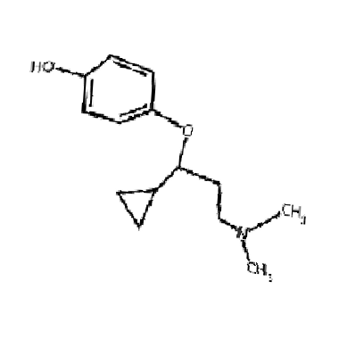 CN(C)CCC(Oc1ccc(O)cc1)C1CC1